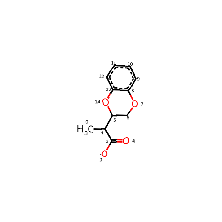 CC(C([O])=O)C1COc2ccccc2O1